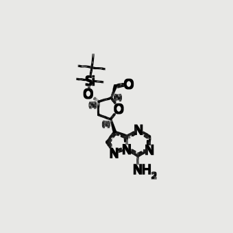 CC(C)(C)[Si](C)(C)O[C@H]1C[C@H](c2cnn3c(N)ncnc23)O[C@@H]1C=O